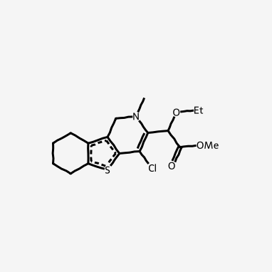 CCOC(C(=O)OC)C1=C(Cl)c2sc3c(c2CN1C)CCCC3